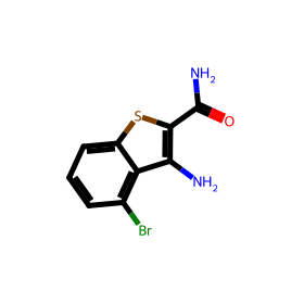 NC(=O)c1sc2cccc(Br)c2c1N